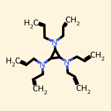 C=CCN(CC=C)C1C(N(CC=C)CC=C)C1N(CC=C)CC=C